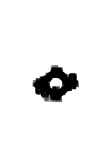 COc1c2nc(cc3cc(C(C)=O)c(cc4nc(cc5cc(C(C)=O)c1[nH]5)CC4)[nH]3)CC2